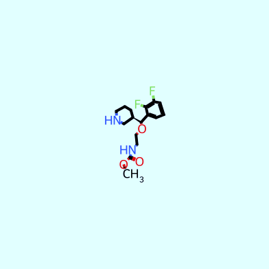 COC(=O)NCCOC(c1cccc(F)c1F)[C@@H]1CCCNC1